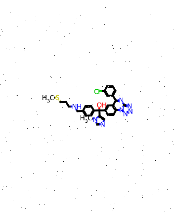 CSCCCNCc1ccc(C(O)(c2ccc3c(c2)c(-c2cccc(Cl)c2)nc2nnnn23)c2cncn2C)cc1